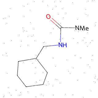 CNC(=O)NCC1CCCCC1